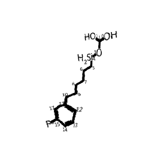 OC(O)O[SiH2]CCCCCCc1cccc(F)c1